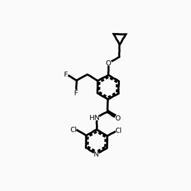 O=C(Nc1c(Cl)cncc1Cl)c1ccc(OCC2CC2)c(CC(F)F)c1